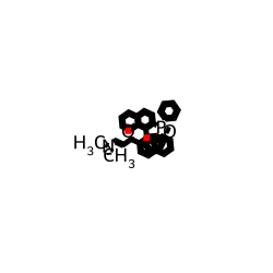 CN(C)/C=C/C(=O)c1ccc2ccccc2c1-c1c(P(=O)(c2ccccc2)c2ccccc2)ccc2ccccc12